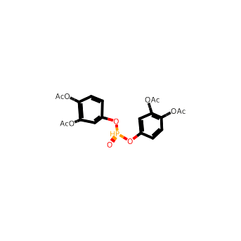 CC(=O)Oc1ccc(O[PH](=O)Oc2ccc(OC(C)=O)c(OC(C)=O)c2)cc1OC(C)=O